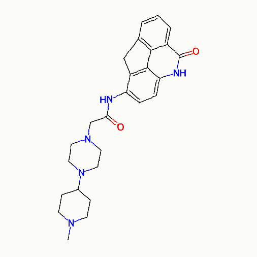 CN1CCC(N2CCN(CC(=O)Nc3ccc4[nH]c(=O)c5cccc6c5c4c3C6)CC2)CC1